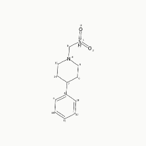 O=[SH](=O)CN1CCC(c2c[c]ccc2)CC1